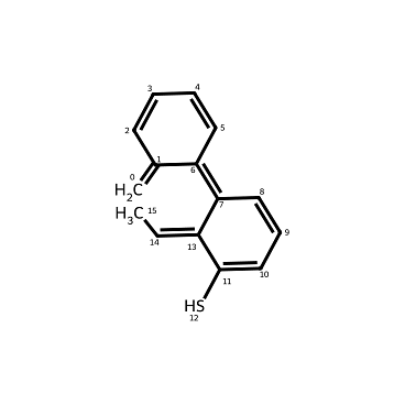 C=c1cccc/c1=c1\cccc(S)\c1=C\C